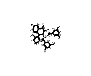 Cc1cc(C)cc(C(=O)OC2C(C)c3ccccc3C(c3ccccc3C)C2OC(=O)c2cc(C)cc(C)c2)c1